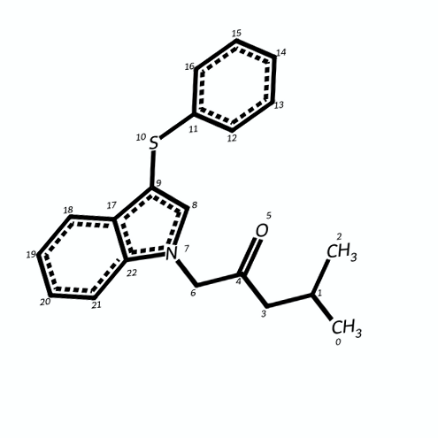 CC(C)CC(=O)Cn1cc(Sc2ccccc2)c2ccccc21